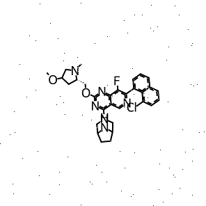 COC1C[C@@H](COc2nc(N3CC4CCC(C3)N4)c3cnc(-c4cccc5cccc(Cl)c45)c(F)c3n2)N(C)C1